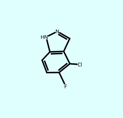 Fc1ccc2[nH]ncc2c1Cl